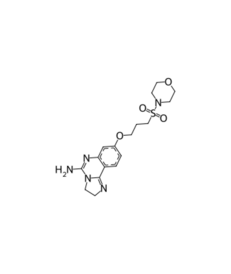 NC1=Nc2cc(OCCCS(=O)(=O)N3CCOCC3)ccc2C2=NCCN12